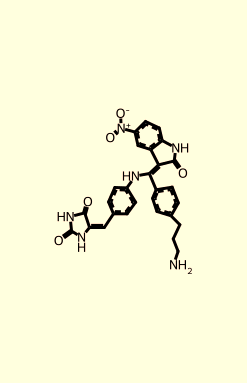 NCCCc1ccc(C(Nc2ccc(C=C3NC(=O)NC3=O)cc2)=C2C(=O)Nc3ccc([N+](=O)[O-])cc32)cc1